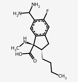 CCCC[C@H]1Cc2cc(F)c(C(N)N)cc2[C@@]1(NC)C(=O)O